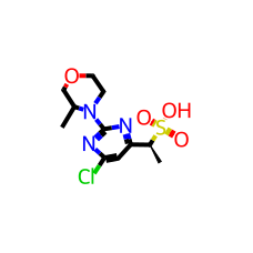 CC1COCCN1c1nc(Cl)cc([C@H](C)S(=O)(=O)O)n1